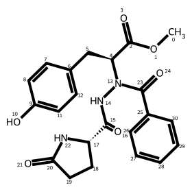 COC(=O)[C@H](Cc1ccc(O)cc1)N(NC(=O)[C@@H]1CCC(=O)N1)C(=O)c1ccccc1